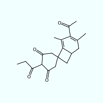 CCC(=O)C1C(=O)CC2(CC1=O)CC1CC(C)=C(C(C)=O)C(C)=C12